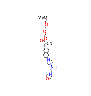 COCCOCCOCCOC(=O)/C(C#N)=C/c1ccc2cc(N3CCN(NCCN4CCOCC4)CC3)ccc2c1